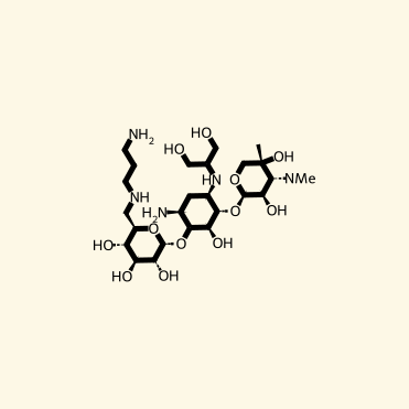 CN[C@@H]1[C@@H](O)[C@@H](O[C@H]2[C@H](NC(CO)CO)C[C@H](N)C(O[C@H]3O[C@H](CNCCCN)[C@@H](O)[C@H](O)[C@H]3O)[C@@H]2O)OC[C@]1(C)O